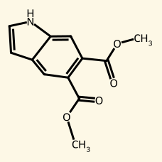 COC(=O)c1cc2cc[nH]c2cc1C(=O)OC